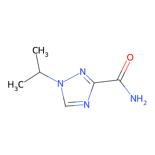 CC(C)n1cnc(C(N)=O)n1